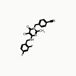 Cc1nc(NCc2ccc(F)cc2F)c(Cl)c(=O)n1Cc1ccc(C#N)cc1